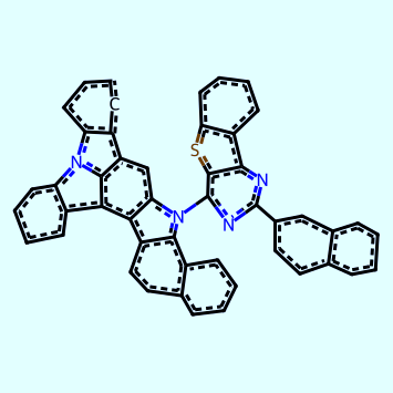 c1ccc2cc(-c3nc(-n4c5cc6c7ccccc7n7c8ccccc8c(c5c5ccc8ccccc8c54)c67)c4sc5ccccc5c4n3)ccc2c1